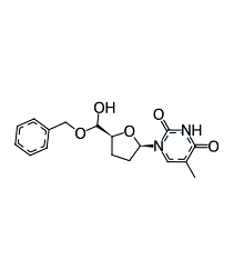 Cc1cn([C@H]2CC[C@@H](C(O)OCc3ccccc3)O2)c(=O)[nH]c1=O